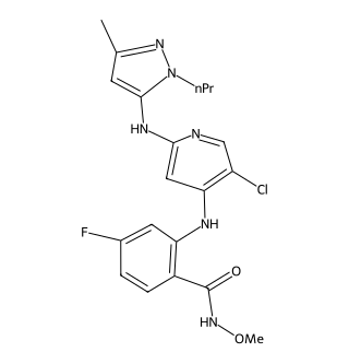 CCCn1nc(C)cc1Nc1cc(Nc2cc(F)ccc2C(=O)NOC)c(Cl)cn1